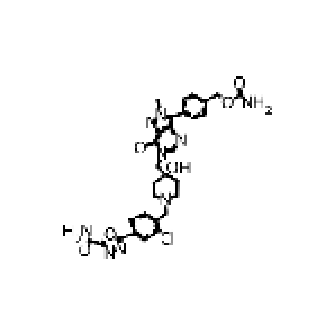 Cn1nc2c(=O)n(CC3(O)CCN(Cc4ccc(-c5nnc(C(N)=O)o5)cc4Cl)CC3)cnc2c1-c1ccc(COC(N)=O)cc1